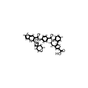 O=C(O)c1cc2c(s1)-c1ccccc1N(C(=O)c1ccc(NC(=O)c3cc4sccc4nc3N3CC4(CCOCC4)C3)cc1)CC2